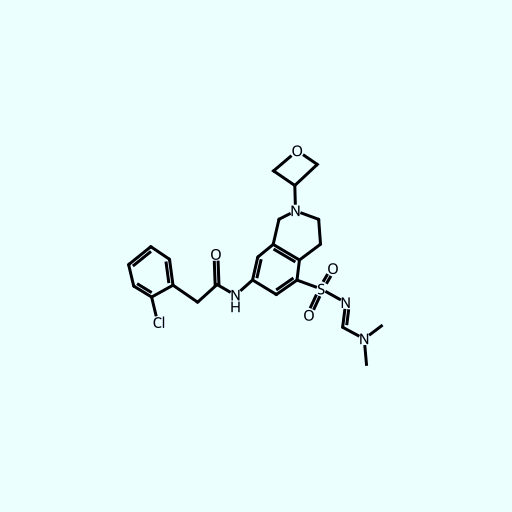 CN(C)/C=N/S(=O)(=O)c1cc(NC(=O)Cc2ccccc2Cl)cc2c1CCN(C1COC1)C2